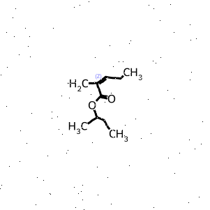 [CH2]/C(=C/CC)C(=O)OC(C)CC